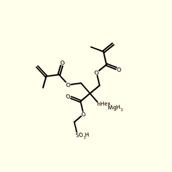 C=C(C)C(=O)OCC(CCCCCC)(COC(=O)C(=C)C)C(=O)OCS(=O)(=O)O.[MgH2]